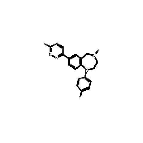 Cc1ccc(-c2ccc3c(c2)CN(C)CCN3c2ccc(F)cc2)nn1